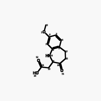 COc1ccc2c(c1)NC(CC(=O)O)C(=O)CC2